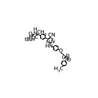 Cc1ccc(S(=O)(=O)OCCOc2ccc(Nc3ncc(C#N)c(-c4ccc(C(C)(C)NC(=O)OC(C)(C)C)cc4)n3)cc2)cc1